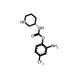 Nc1cc(C(F)(F)F)ccc1OC(=O)N[C@H]1CCCNC1